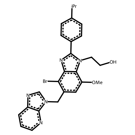 COc1cc(Cn2cnc3cccnc32)c(Br)c2nc(-c3ccc(C(C)C)cc3)n(CCO)c12